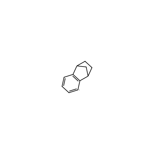 [c]1cccc2c1C1CCC2C1